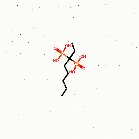 CCCCCC(CC)(P(=O)(O)O)P(=O)(O)O